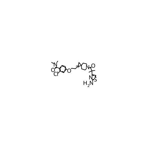 CN(C)C(=O)c1ccc(OCC[C@H]2CC23CCN(C(=O)C(C)(C)c2csc(N)n2)CC3)cc1Cl